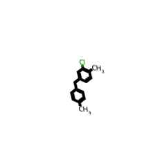 Cc1ccc(Cc2ccc(C)c(Cl)c2)cc1